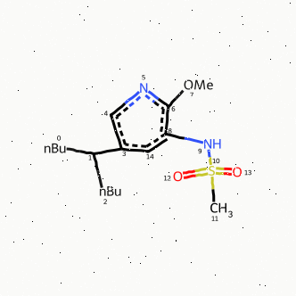 CCCCC(CCCC)c1cnc(OC)c(NS(C)(=O)=O)c1